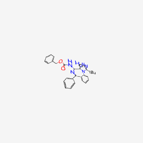 C=C1C(NC(=O)OCc2ccccc2)N=C(c2ccccc2)c2ccccc2N1/C(=N\N)C(C)(C)C